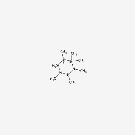 CN1[SiH2][SiH](C)[Si](C)(C)N(C)N1C